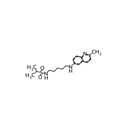 Cc1ccc2cc(NCCCCCNS(=O)(=O)C(C)C)ccc2n1